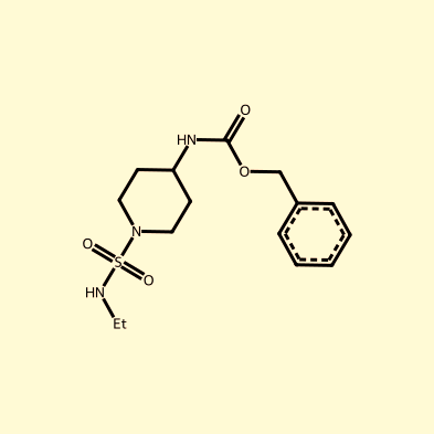 CCNS(=O)(=O)N1CCC(NC(=O)OCc2ccccc2)CC1